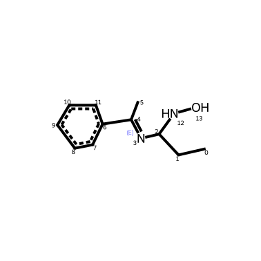 CCC(/N=C(\C)c1ccccc1)NO